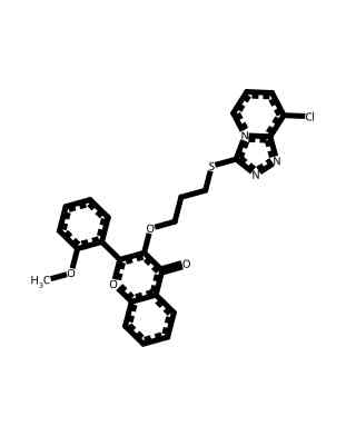 COc1ccccc1-c1oc2ccccc2c(=O)c1OCCCSc1nnc2c(Cl)cccn12